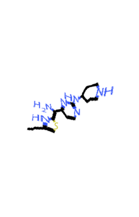 CCC1=CS/C(=C(/N)c2ccnc(NC3CCNCC3)n2)N1